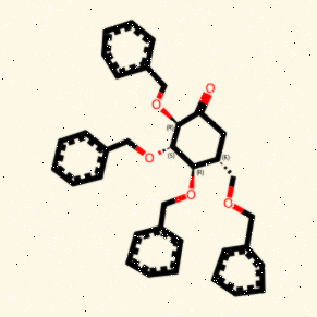 O=C1C[C@H](COCc2ccccc2)[C@@H](OCc2ccccc2)[C@H](OCc2ccccc2)[C@H]1OCc1ccccc1